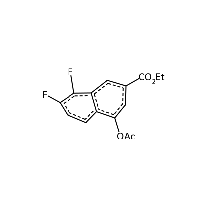 CCOC(=O)c1cc(OC(C)=O)c2ccc(F)c(F)c2c1